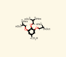 CCCCCCCCC(CCCCCC)COc1cc(C(=O)O)cc(OCC(CCCCCC)CCCCCCCC)c1OCC(CCCCCC)CCCCCCCC